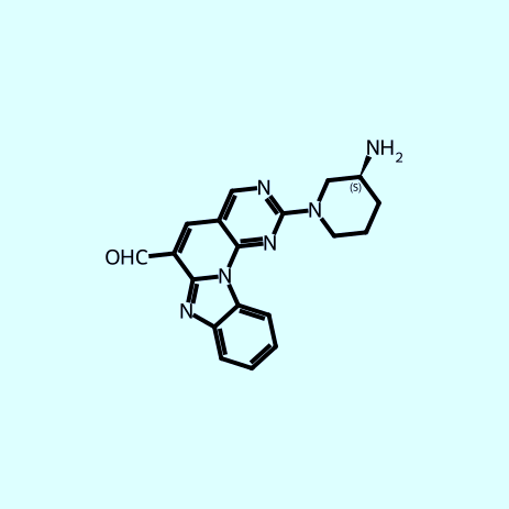 N[C@H]1CCCN(c2ncc3cc(C=O)c4nc5ccccc5n4c3n2)C1